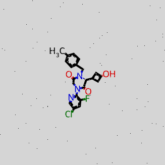 Cc1ccc(CN2C(=O)CN(c3ncc(Cl)cc3F)C(=O)[C@H]2C23CC(O)(C2)C3)cc1